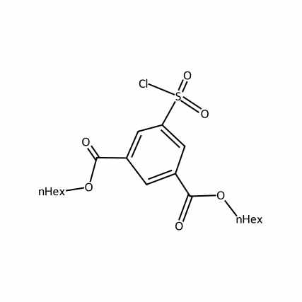 CCCCCCOC(=O)c1cc(C(=O)OCCCCCC)cc(S(=O)(=O)Cl)c1